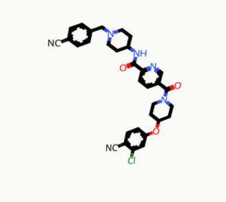 N#Cc1ccc(CN2CCC(NC(=O)c3ccc(C(=O)N4CCC(Oc5ccc(C#N)c(Cl)c5)CC4)cn3)CC2)cc1